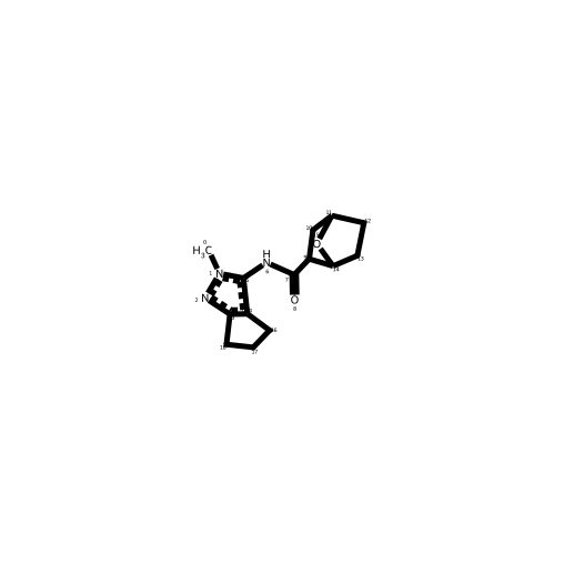 Cn1nc2c(c1NC(=O)C1CC3CCC1O3)CCC2